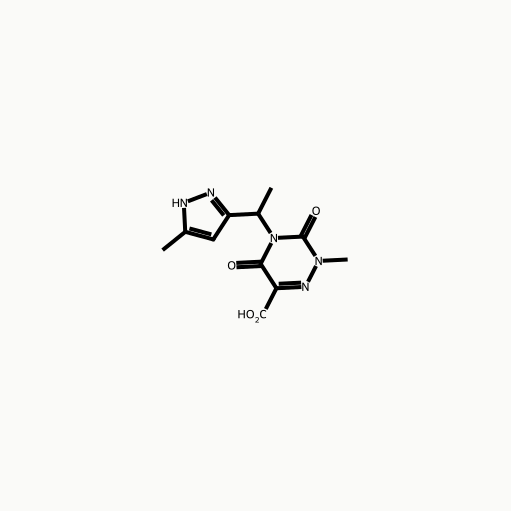 Cc1cc(C(C)n2c(=O)c(C(=O)O)nn(C)c2=O)n[nH]1